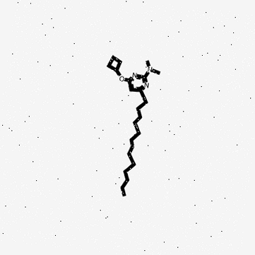 CCCCCCCCCCCCCc1cc(OC2CCC2)nc(N(C)C)n1